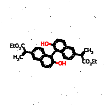 C=C(C(=O)OCC)c1ccc2c(-c3c(O)ccc4cc(C(=C)C(=O)OCC)ccc34)c(O)ccc2c1